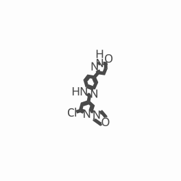 O=C1CCC(c2ccc3[nH]c(-c4cc(Cl)nc(N5CCOCC5)c4)nc3c2)=NN1